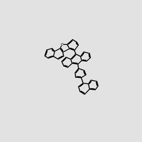 c1ccc2c(-c3ccc(-c4c5ccccc5c(-c5cccc6oc7c8ccccc8ccc7c56)c5ccccc45)cc3)cccc2c1